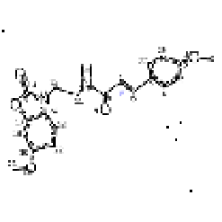 COc1ccc(/C=C/C(=O)NCCn2c(=O)oc3cc(OC)ccc32)cc1